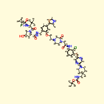 Cc1ncsc1-c1ccc(CNC(=O)[C@@H]2C[C@@H](O)CN2C(=O)[C@@H](NC(=O)C2(F)CC2)C(C)(C)C)c(OCCN2CCN(CC(=O)Nc3cccc(Sc4cnc(N5CCC(C)(CNC(=O)OC(C)(C)C)CC5)cn4)c3Cl)C(=O)C2)c1